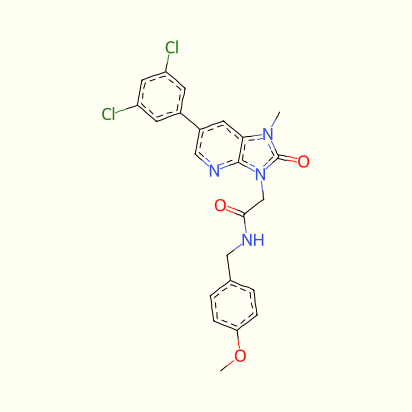 COc1ccc(CNC(=O)Cn2c(=O)n(C)c3cc(-c4cc(Cl)cc(Cl)c4)cnc32)cc1